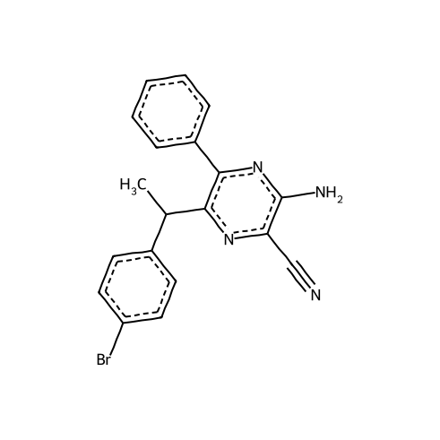 CC(c1ccc(Br)cc1)c1nc(C#N)c(N)nc1-c1ccccc1